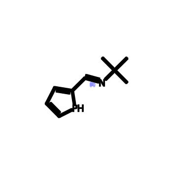 CC(C)(C)/N=C/c1ccc[pH]1